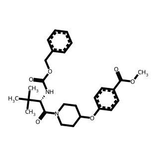 COC(=O)c1ccc(OC2CCN(C(=O)[C@@H](NC(=O)OCc3ccccc3)C(C)(C)C)CC2)cc1